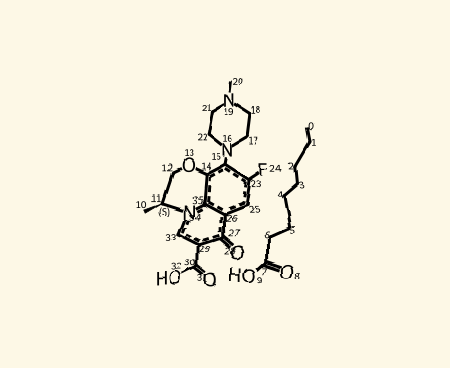 CCCCCCCC(=O)O.C[C@H]1COc2c(N3CCN(C)CC3)c(F)cc3c(=O)c(C(=O)O)cn1c23